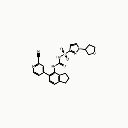 N#Cc1cc(-c2ccc3c(c2NC(=O)NS(=O)(=O)c2ccn(C4CCOC4)n2)CCC3)ccn1